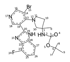 CC1(NC(=O)OC(C)(C)C)CCN(c2c(Br)cncc2-c2nc3c(F)cccc3[nH]2)C1